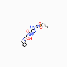 CS(=O)(=O)N1CC(Nc2cc(C(=O)NCC(O)CN3CCc4ccccc4C3)ncn2)C1